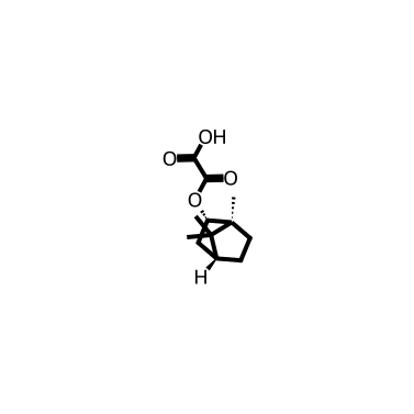 CC1(C)[C@@H]2CC[C@]1(C)[C@@H](OC(=O)C(=O)O)C2